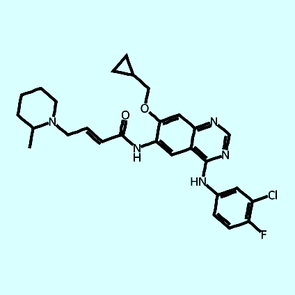 CC1CCCCN1CC=CC(=O)Nc1cc2c(Nc3ccc(F)c(Cl)c3)ncnc2cc1OCC1CC1